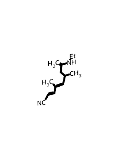 C=C(CC(C)/C=C(C)/C=C/C#N)NCC